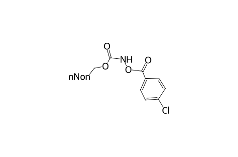 CCCCCCCCCCOC(=O)NOC(=O)c1ccc(Cl)cc1